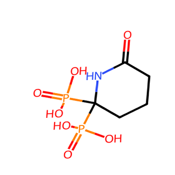 O=C1CCCC(P(=O)(O)O)(P(=O)(O)O)N1